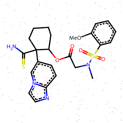 COc1ccccc1S(=O)(=O)N(C)CC(=O)OC1CCCCC1(C(N)=S)c1ccc2nccn2c1